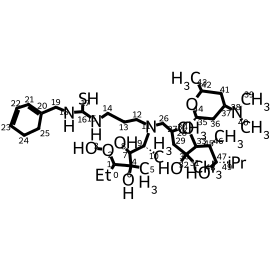 CCC(OO)C(C)(O)C(O)[C@@H](C)N(CCCNC(S)NCC1=CC=CCC1)CC(C)CC(C)(O)C(O[C@H]1CC(N(C)C)CC(C)O1)[C@H](C)[C@@H](O)C(C)C